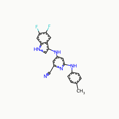 Cc1ccc(Nc2cc(Nc3c[nH]c4cc(F)c(F)cc34)cc(C#N)n2)cc1